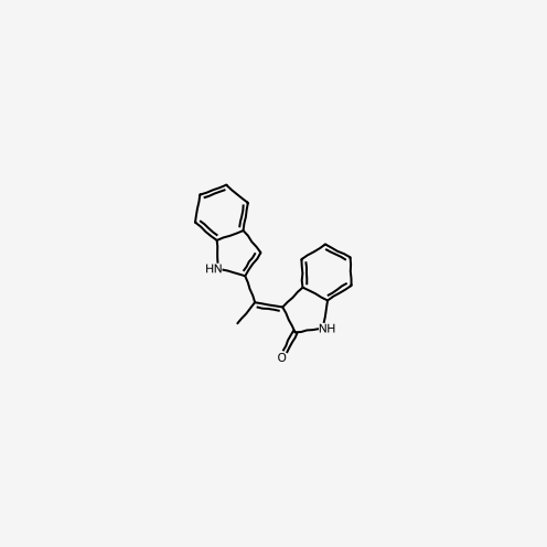 CC(=C1C(=O)Nc2ccccc21)c1cc2ccccc2[nH]1